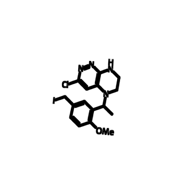 COc1ccc(CI)cc1C(C)N1CCNc2nnc(Cl)cc21